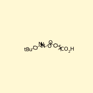 CC(C)(Sc1ccc(C(=O)OCCn2cc(-c3ccc(C(C)(C)C)cc3)nn2)cc1)C(=O)O